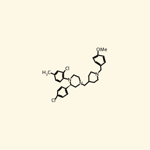 COc1ccc(CN2CCC(CN3CCN(c4ccc(C)cc4Cl)[C@H](c4ccc(Cl)cc4)C3)CC2)cc1